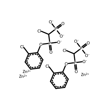 O=P([O-])([O-])C(Cl)P(=O)([O-])Oc1ccccc1Cl.O=P([O-])([O-])C(Cl)P(=O)([O-])Oc1ccccc1Cl.[Zn+2].[Zn+2].[Zn+2]